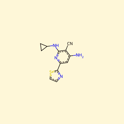 N#Cc1c(N)cc(-c2nccs2)nc1NC1CC1